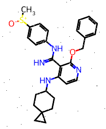 C[S+]([O-])c1ccc(NC(=N)c2c(NC3CCC4(CC3)CC4)ccnc2OCc2ccccc2)cc1